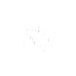 Cc1cccc(-c2nn(C(C)(C)C)c(O)c2C(C)(C)C)c1